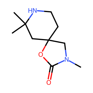 CN1CC2(CCNC(C)(C)C2)OC1=O